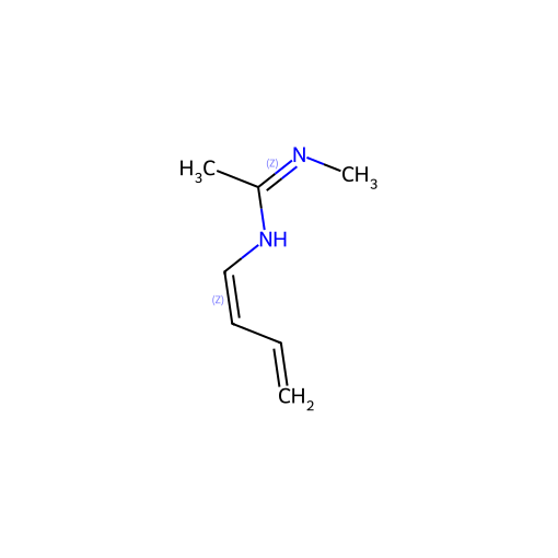 C=C/C=C\N/C(C)=N\C